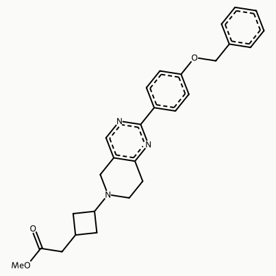 COC(=O)CC1CC(N2CCc3nc(-c4ccc(OCc5ccccc5)cc4)ncc3C2)C1